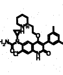 Cc1cc(C)cc(-c2c(OCC[C@@H]3CCCCN3)c3cc(N(C(N)=O)C4CC4)c(Cl)cc3[nH]c2=O)c1